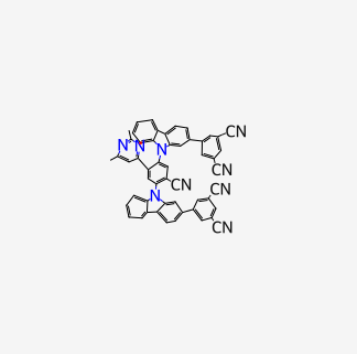 Cc1cc(-c2cc(-n3c4ccccc4c4ccc(-c5cc(C#N)cc(C#N)c5)cc43)c(C#N)cc2-n2c3ccccc3c3ccc(-c4cc(C#N)cc(C#N)c4)cc32)nc(C)n1